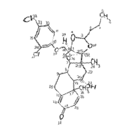 CCCC1O[C@@H]2CC3C4CCC5=CC(=O)C=CC5(C)C4[C@@H](O)CC3(C)[C@]2(C(=O)COc2ccc(Cl)cc2Cl)O1